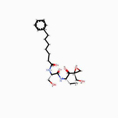 CC(C)C[C@H](NC(=O)[C@H](CO)NC(=O)CCCCCCc1ccccc1)C(=O)[C@@]1(CO)CO1